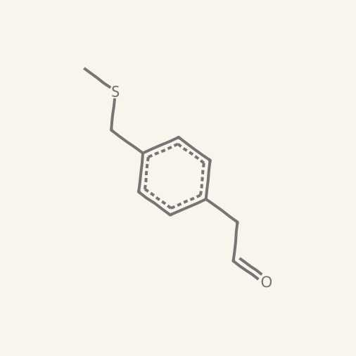 CSCc1ccc(CC=O)cc1